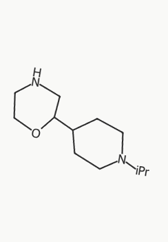 CC(C)N1CCC(C2CNCCO2)CC1